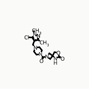 Cc1nn(C)c(Cl)c1CN1CCN(C(=O)N2CC3(COC(=O)N3)C2)CC1